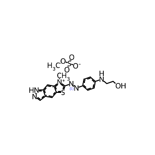 COS(=O)(=O)[O-].C[n+]1c(/N=N/c2ccc(NCCO)cc2)sc2cc3cn[nH]c3cc21